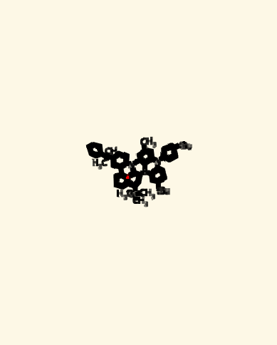 Cc1cc2c3c(c1)N(c1ccc(C(C)(C)c4ccccc4)cc1-c1ccccc1)c1ccc([Si](C)(C)C)cc1B3c1cc(C(C)(C)C)ccc1N2c1ccc(C(C)(C)C)cc1